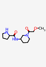 COCC(=O)N1CCCC(NC(=O)C2CCCN2)C1